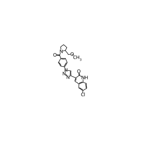 COCC1CCCN1C(=O)c1ccc(-n2cc(-c3cc4cc(Cl)ccc4[nH]c3=O)nn2)cc1